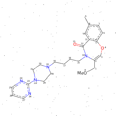 COCC1=COc2ccc(C)cc2C(=O)N1CCCCN1CCN(c2ncccn2)CC1